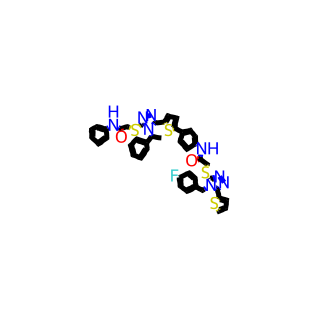 CC(c1ccccc1)n1c(SCC(=O)Nc2ccccc2)nnc1-c1ccc(-c2ccc(NC(=O)CSc3nnc(-c4cccs4)n3Cc3ccc(F)cc3)cc2)s1